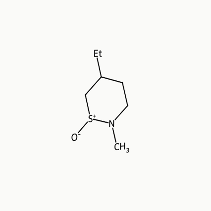 CCC1CCN(C)[S+]([O-])C1